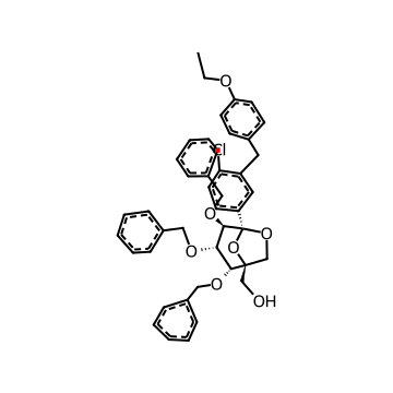 CCOc1ccc(Cc2cc([C@]34OC[C@@](CO)(O3)[C@H](OCc3ccccc3)[C@H](OCc3ccccc3)[C@H]4OCc3ccccc3)ccc2Cl)cc1